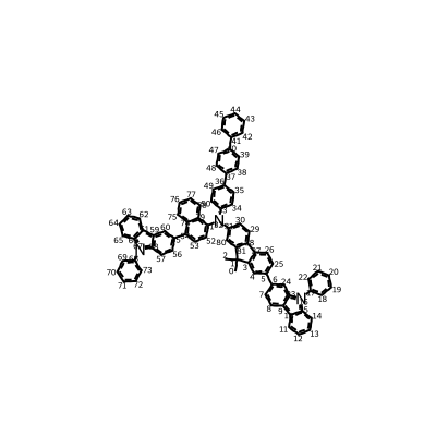 CC1(C)c2cc(-c3ccc4c5ccccc5n(-c5ccccc5)c4c3)ccc2-c2ccc(N(c3ccc(-c4ccc(-c5ccccc5)cc4)cc3)c3ccc(-c4ccc5c(c4)c4ccccc4n5-c4ccccc4)c4ccccc34)cc21